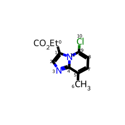 CCOC(=O)c1cnc2c(C)ccc(Cl)n12